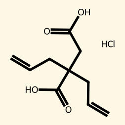 C=CCC(CC=C)(CC(=O)O)C(=O)O.Cl